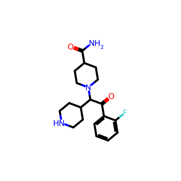 NC(=O)C1CCN(C(C(=O)c2ccccc2F)C2CCNCC2)CC1